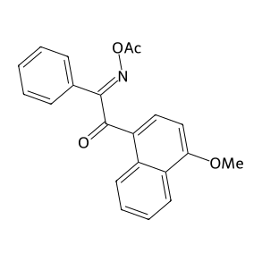 COc1ccc(C(=O)C(=NOC(C)=O)c2ccccc2)c2ccccc12